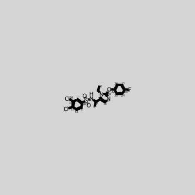 CCn1c(C(C)NS(=O)(=O)c2ccc(Cl)c(Cl)c2)cnc1Oc1ccc(F)cc1